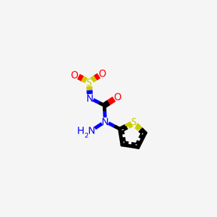 NN(C(=O)N=S(=O)=O)c1cccs1